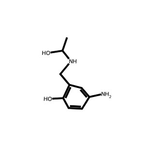 CC(O)NCc1cc(N)ccc1O